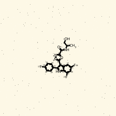 CC(CO)NC(=O)c1nnc(-c2c(-c3ccc(F)cc3)[nH]c3c(F)cc(F)cc23)o1